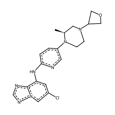 C[C@H]1CN(C2COC2)CCN1c1ccc(Nc2cc(Cl)cn3ncnc23)nc1